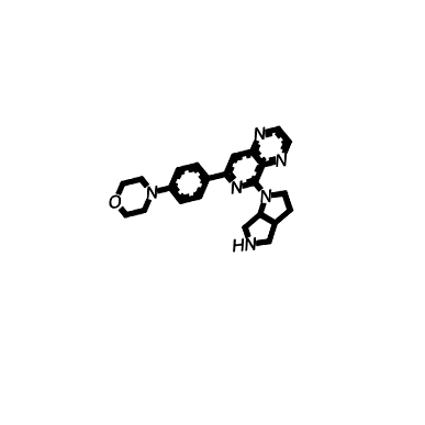 c1cnc2c(N3CCC4CNCC43)nc(-c3ccc(N4CCOCC4)cc3)cc2n1